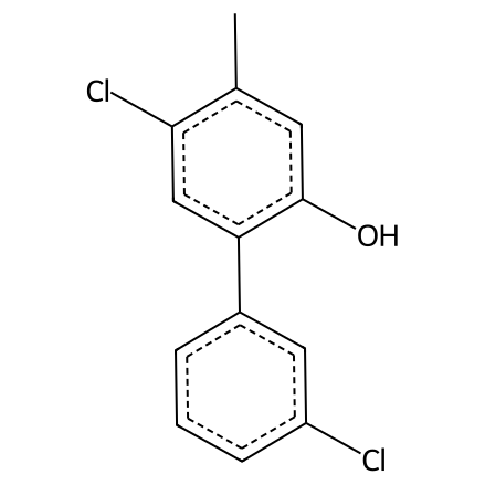 Cc1cc(O)c(-c2cccc(Cl)c2)cc1Cl